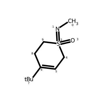 CN=S1(=O)CC=C(C(C)(C)C)CC1